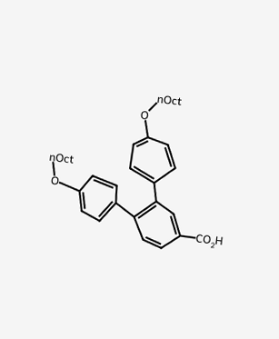 CCCCCCCCOc1ccc(-c2ccc(C(=O)O)cc2-c2ccc(OCCCCCCCC)cc2)cc1